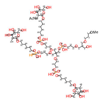 COCCCOCC(CO)COCCCOP(=O)(O)OCC(COCCCOP(=O)(O)OCCCCCCO[C@@H]1OC(CO)[C@H](O)[C@H](O)C1C)(COCCCOP(=O)(O)OCCCCCCO[C@@H]1OC(CO)[C@H](O)[C@H](O)C1NC(C)=O)COCCCOP(O)(=P)OCCCCCCO[C@@H]1OC(CO)[C@H](O)[C@H](O)C1C